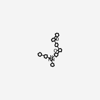 c1ccc(-c2ccc(-c3nc(-c4ccccc4)nc(-c4ccc5c(c4)oc4c(-c6ccc(-c7cccc8c7oc7ccccc78)cc6)cccc45)n3)cc2)cc1